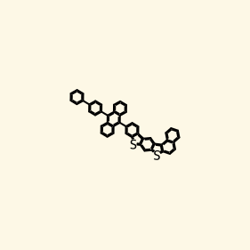 c1ccc(-c2ccc(-c3c4ccccc4c(-c4ccc5c(c4)sc4cc6sc7ccc8ccccc8c7c6cc45)c4ccccc34)cc2)cc1